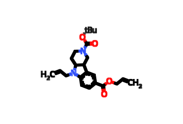 C=CCOC(=O)c1ccc2c(c1)C1CN(C(=O)OC(C)(C)C)CCC1N2CC=C